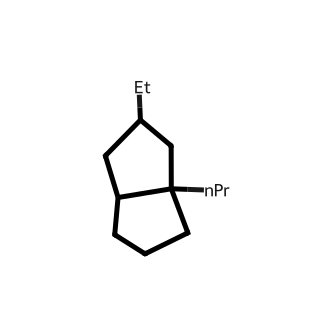 CCCC12CCCC1CC(CC)C2